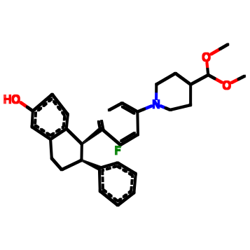 C=C(/C(F)=C\C(=C/C)N1CCC(C(OC)OC)CC1)[C@@H]1c2ccc(O)cc2CC[C@@H]1c1ccccc1